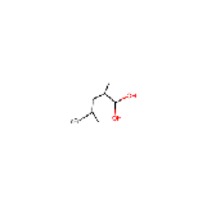 CCCC(C)CC(C)C(O)O